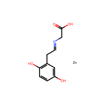 O=C(O)CN=CCc1cc(O)ccc1O.[Zn]